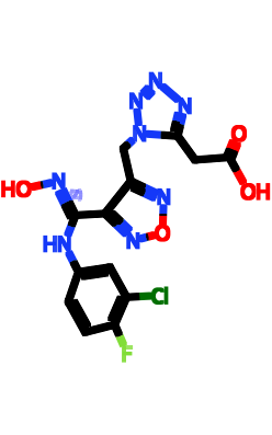 O=C(O)Cc1nnnn1Cc1nonc1/C(=N/O)Nc1ccc(F)c(Cl)c1